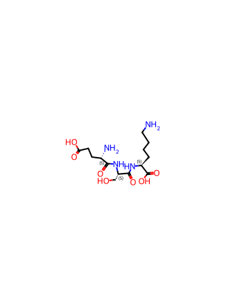 NCCCC[C@H](NC(=O)[C@H](CO)NC(=O)[C@@H](N)CCC(=O)O)C(=O)O